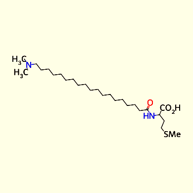 CSCCC(NC(=O)CCCCCCCCCCCCCCCCCCN(C)C)C(=O)O